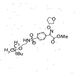 COC(=O)/C(=N/O[C@@H]1CCOC1)c1ccc(S(=O)(=O)NCCO[Si](C)(C)C(C)(C)C)cc1